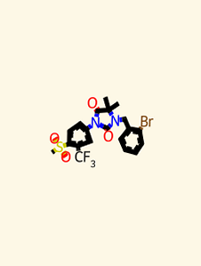 CC1(C)C(=O)N(c2ccc(S(C)(=O)=O)c(C(F)(F)F)c2)C(=O)N1Cc1ccccc1Br